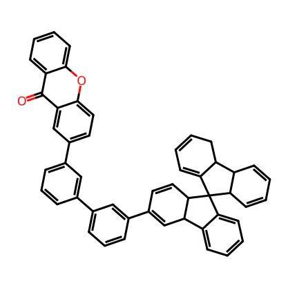 O=c1c2ccccc2oc2ccc(-c3cccc(-c4cccc(C5=CC6c7ccccc7C7(C8=CC=CCC8C8C=CC=CC87)C6C=C5)c4)c3)cc12